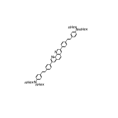 CCCCCCN(CCCCCC)c1ccc(C=Cc2ccc(-c3cnc4c(ccc5cc(-c6ccc(C=Cc7ccc(N(CCCCCC)CCCCCC)cc7)cc6)cnc54)c3)cc2)cc1